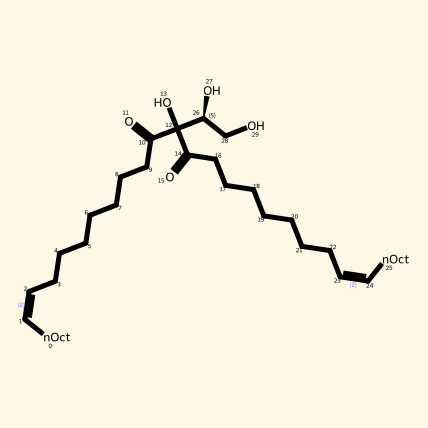 CCCCCCCC/C=C\CCCCCCCC(=O)C(O)(C(=O)CCCCCCC/C=C\CCCCCCCC)[C@@H](O)CO